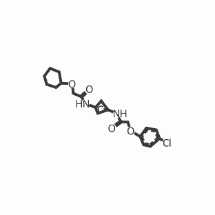 O=C(COc1ccc(Cl)cc1)NC12CC(NC(=O)COC3CCCCC3)(C1)C2